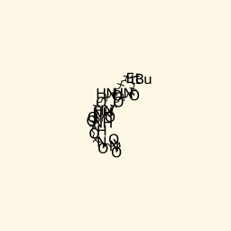 CCC(C)(C)C(C)CC(C)(C)CCC(=O)NCC(C)(C)COCC(C)(C)CNC(=O)[C@H](CCC(=O)NCC(C)(C)COCC(C)(C)CNC(=O)C(C)(C)CCC(C)(C)C)NC(=O)C(C)(C)COCC(C)(C)CNC(=O)CCN1C(=O)C=CC1=O